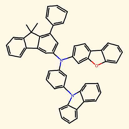 CC1(C)c2ccccc2-c2cc(N(c3cccc(-n4c5ccccc5c5ccccc54)c3)c3ccc4c(c3)oc3ccccc34)cc(-c3ccccc3)c21